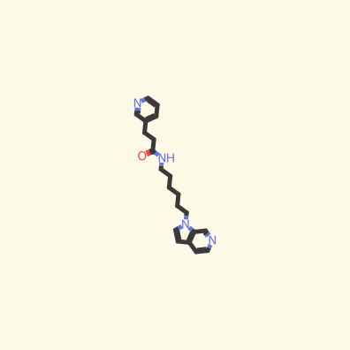 O=C(CCc1cccnc1)NCCCCCCn1ccc2ccncc21